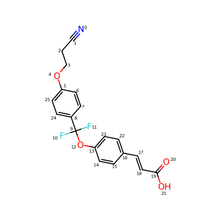 N#CCCOc1ccc(C(F)(F)Oc2ccc(C=CC(=O)O)cc2)cc1